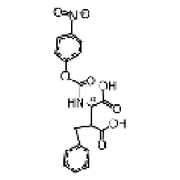 O=C(N[C@H](C(=O)O)C(Cc1ccccc1)C(=O)O)Oc1ccc([N+](=O)[O-])cc1